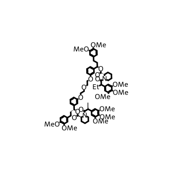 CCC(C(=O)N1CCCC[C@H]1C(=O)OC(CCc1ccc(OC)c(OC)c1)c1cccc(OCCOCCOc2cccc([C@@H](CCc3ccc(OC)c(OC)c3)OC(=O)[C@@H]3CCCCN3C(=O)[C@@H](I)c3cc(OC)c(OC)c(OC)c3)c2)c1)c1cc(OC)c(OC)c(OC)c1